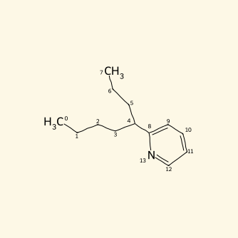 CCCCC(CCC)c1ccccn1